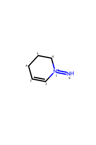 N=[N+]1C=CCCC1